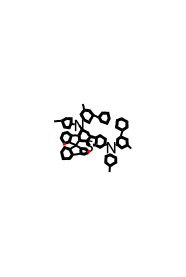 Cc1ccc(N(c2cc(C)cc(-c3ccccc3)c2)c2ccc3c(c2)sc2c4c(c(N(c5ccc(C)cc5)c5cc(C)cc(-c6ccccc6)c5)cc23)-c2ccccc2C42c3ccccc3-c3ccccc32)cc1